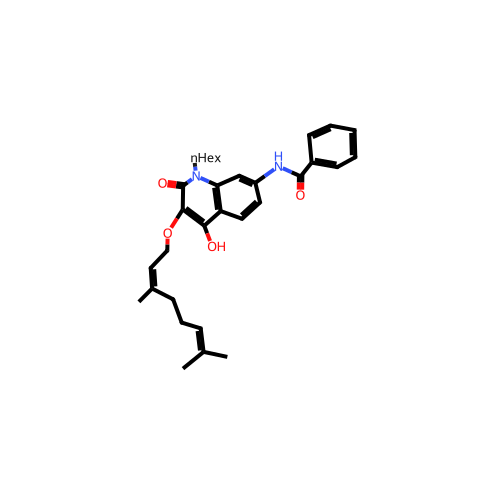 CCCCCCn1c(=O)c(OCC=C(C)CCC=C(C)C)c(O)c2ccc(NC(=O)c3ccccc3)cc21